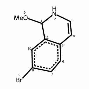 COC1NC=Cc2ccc(Br)cc21